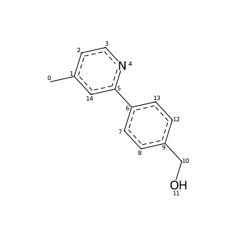 Cc1ccnc(-c2ccc(CO)cc2)c1